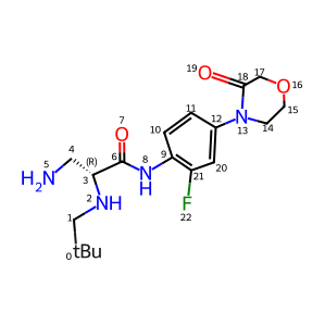 CC(C)(C)CN[C@H](CN)C(=O)Nc1ccc(N2CCOCC2=O)cc1F